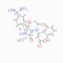 CC(=O)N([C@H](CC(=O)O)c1ccccc1)N1C(=O)N[C@@](C)(c2ccc(C(=N)N)cc2)C1=O.Cl